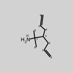 C=CCC(CC=C)C(C)(C)N